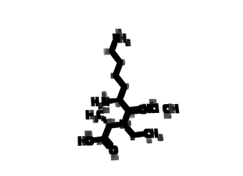 CCN(C(=O)[C@@H](N)CCCCN)[C@@H](C)C(=O)O.Cl.Cl